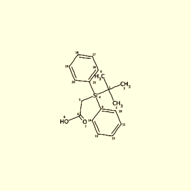 CC(C)(C)[Si](CC(=O)O)(c1ccccc1)c1ccccc1